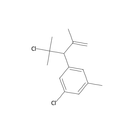 C=C(C)C(c1cc(C)cc(Cl)c1)C(C)(C)Cl